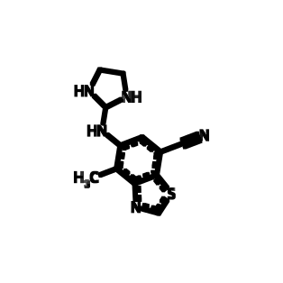 Cc1c(NC2NCCN2)cc(C#N)c2scnc12